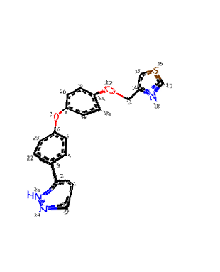 c1cc(-c2ccc(Oc3ccc(OCc4cscn4)cc3)cc2)[nH]n1